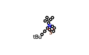 CC(C)(C)c1ccc(-c2ccc(-c3ccc(N(c4ccc5c(c4)-c4cc6ccccc6cc4C5(c4ccccc4)c4ccccc4)c4ccc5ccccc5c4-c4cccc5sc6ccccc6c45)cc3)cc2)cc1